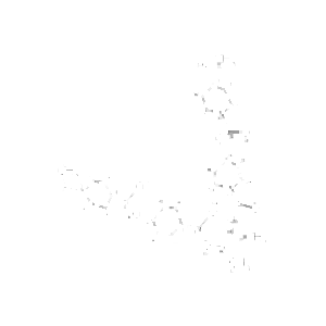 CCc1ccc(C(=O)Oc2ccc(C(=O)OC(C)C(C)OC(=O)c3ccc(OC(=O)c4ccc(CC)cc4)cc3)cc2)cc1